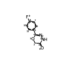 O=C1COC(c2ccc(F)cc2)=NN1